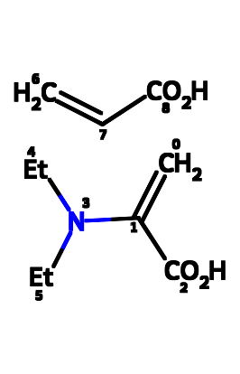 C=C(C(=O)O)N(CC)CC.C=CC(=O)O